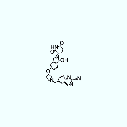 N#Cc1ncc2cc(CN3CC[C@H](Oc4ccc5c(c4)CN(C4CCC(=O)NC4=O)C5O)C3)ccc2n1